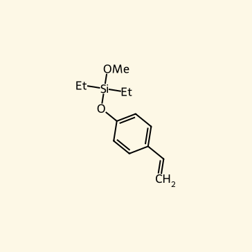 C=Cc1ccc(O[Si](CC)(CC)OC)cc1